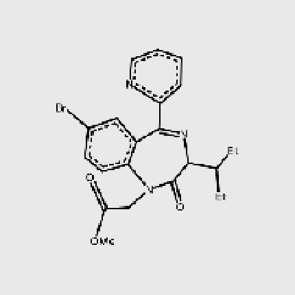 CCC(CC)C1N=C(c2ccccn2)c2cc(Br)ccc2N(CC(=O)OC)C1=O